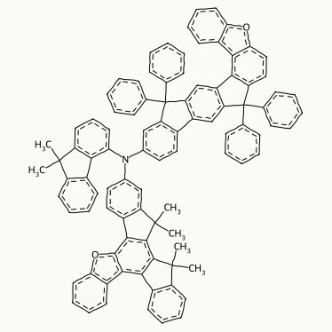 CC1(C)c2ccccc2-c2c(N(c3ccc4c(c3)C(C)(C)c3c5c(c6c(oc7ccccc76)c3-4)-c3ccccc3C5(C)C)c3ccc4c(c3)C(c3ccccc3)(c3ccccc3)c3cc5c(cc3-4)C(c3ccccc3)(c3ccccc3)c3ccc4oc6ccccc6c4c3-5)cccc21